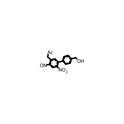 CC(=O)Cc1cc(-c2ccc(CO)cc2)c([N+](=O)[O-])cc1N=O